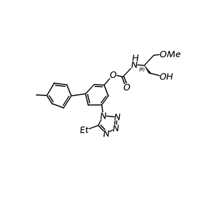 CCc1nnnn1-c1cc(OC(=O)N[C@H](CO)COC)cc(-c2ccc(C)cc2)c1